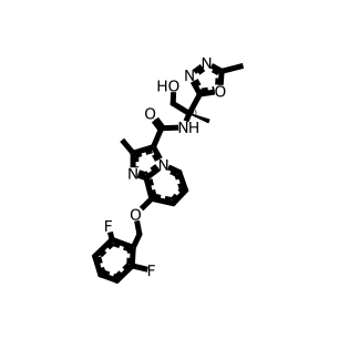 Cc1nnc([C@@](C)(CO)NC(=O)c2c(C)nc3c(OCc4c(F)cccc4F)cccn23)o1